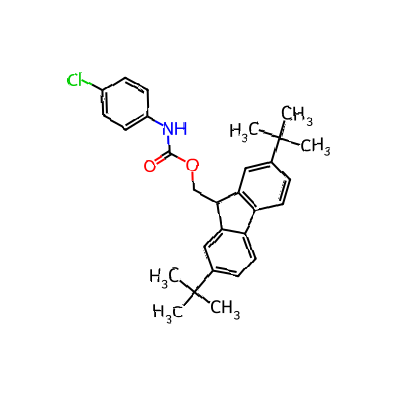 CC(C)(C)c1ccc2c(c1)C(COC(=O)Nc1ccc(Cl)cc1)c1cc(C(C)(C)C)ccc1-2